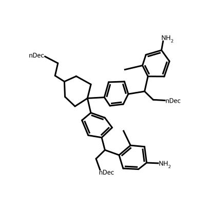 CCCCCCCCCCCCC1CCC(c2ccc(C(CCCCCCCCCCC)c3ccc(N)cc3C)cc2)(c2ccc(C(CCCCCCCCCCC)c3ccc(N)cc3C)cc2)CC1